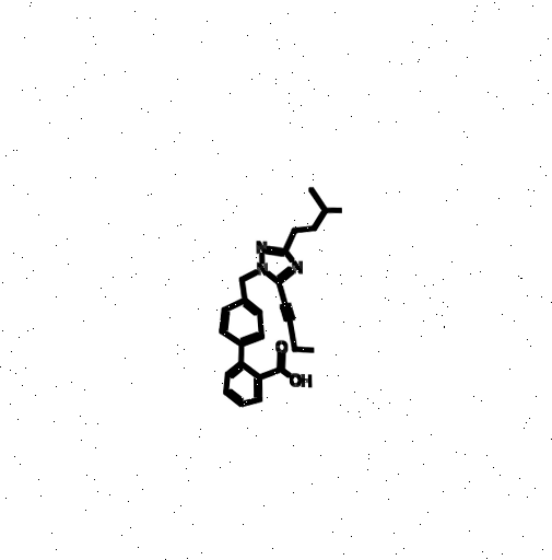 CCC#Cc1nc(CCC(C)C)nn1Cc1ccc(-c2ccccc2C(=O)O)cc1